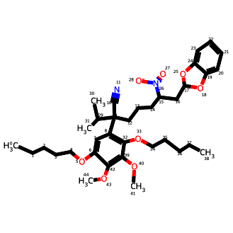 CCCCCOc1cc(C(C#N)(CCCC(CC2Oc3ccccc3O2)[N+](=O)[O-])C(C)C)c(OCCCCC)c(OC)c1OC